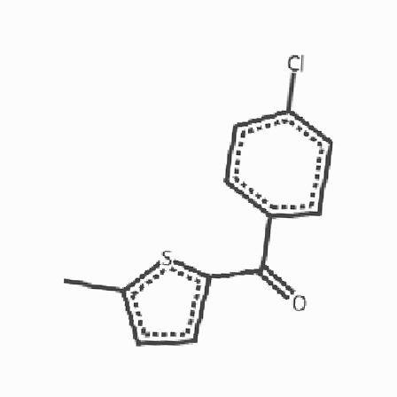 Cc1ccc(C(=O)c2ccc(Cl)cc2)s1